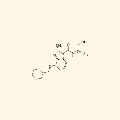 Cc1nc2c(OCC3CCCCC3)cccn2c1C(=O)N[C@H](C)CO